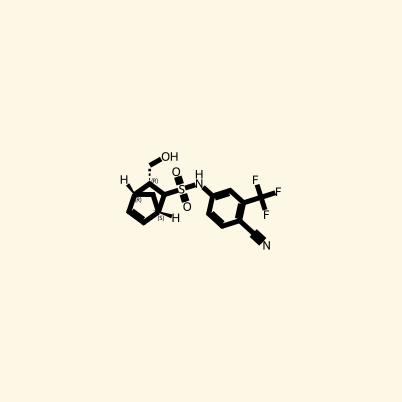 N#Cc1ccc(NS(=O)(=O)C2[C@@H]3C=C[C@@H](C3)[C@@H]2CO)cc1C(F)(F)F